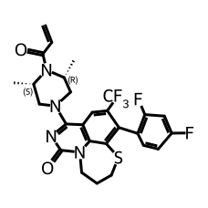 C=CC(=O)N1[C@H](C)CN(c2nc(=O)n3c4c(c(-c5ccc(F)cc5F)c(C(F)(F)F)cc24)SCCC3)C[C@@H]1C